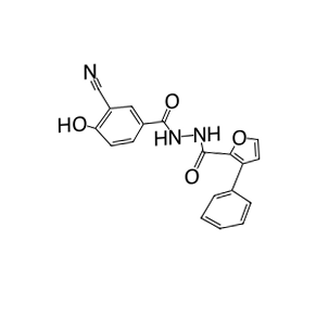 N#Cc1cc(C(=O)NNC(=O)c2occc2-c2ccccc2)ccc1O